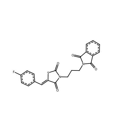 O=C1SC(=Cc2ccc(F)cc2)C(=O)N1CCCN1C(=O)c2ccccc2C1=O